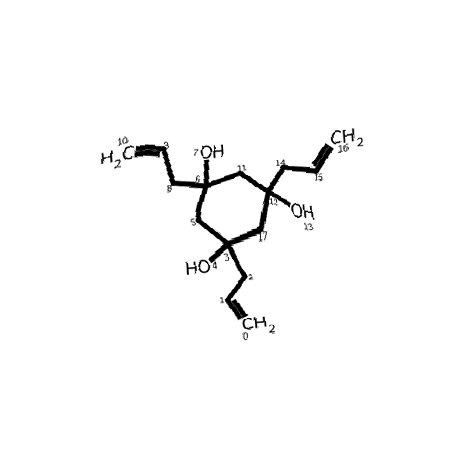 C=CCC1(O)CC(O)(CC=C)CC(O)(CC=C)C1